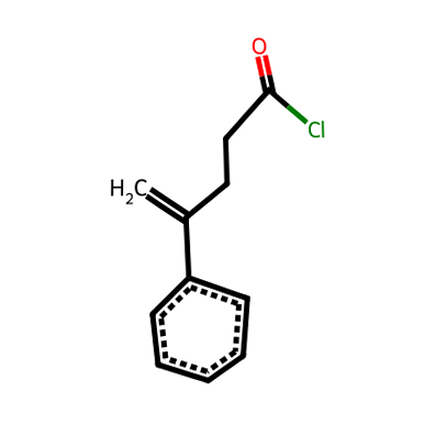 C=C(CCC(=O)Cl)c1ccccc1